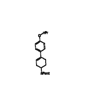 CCCCCC1CC=C(c2ccc(OCCC)cc2)CC1